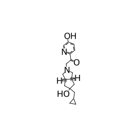 O=C(CN1C[C@@H]2CC(O)(CC3CC3)C[C@@H]2C1)c1ccc(O)cn1